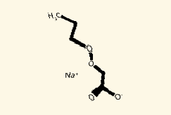 CCCOOCC(=O)[O-].[Na+]